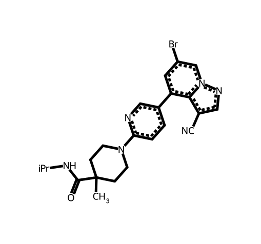 CC(C)NC(=O)C1(C)CCN(c2ccc(-c3cc(Br)cn4ncc(C#N)c34)cn2)CC1